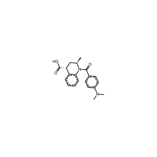 C[C@@H]1C[C@@H](C(=O)O)c2ccccc2N1C(=O)c1ccc(N(C)C)cc1